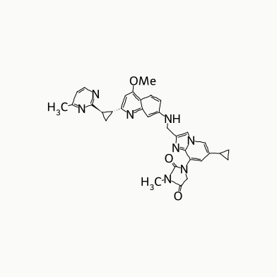 COc1cc([C@@H]2C[C@H]2c2nccc(C)n2)nc2cc(NCc3cn4cc(C5CC5)cc(N5CC(=O)N(C)C5=O)c4n3)ccc12